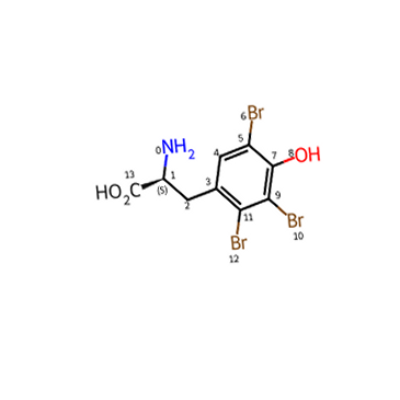 N[C@@H](Cc1cc(Br)c(O)c(Br)c1Br)C(=O)O